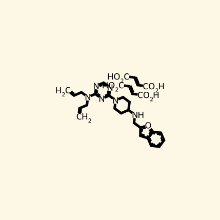 C=CCN(CC=C)c1ncnc(N2CCC(NCc3cc4ccccc4o3)CC2)n1.O=C(O)C=CC(=O)O.O=C(O)C=CC(=O)O